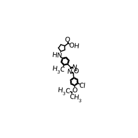 Cc1cc(N[C@H]2CCC(C(=O)O)C2)ccc1-c1noc(-c2ccc(OC(C)C)c(Cl)c2)n1